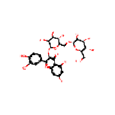 O=c1c(O[C@@H]2OC(CO[C@@H]3OC(CO)[C@@H](O)[C@H](O)C3O)[C@@H](O)C(O)C2O)c(-c2ccc(O)c(O)c2)oc2cc(O)cc(O)c12